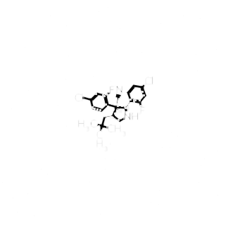 CC(C)(C)C[C@@H]1CN[C@H](c2ccc(Cl)cc2F)[C@@]1(C#N)c1ccc(Cl)cc1F